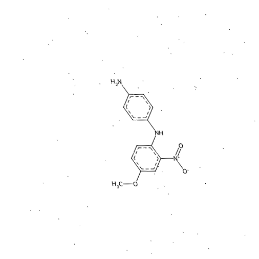 COc1ccc(Nc2ccc(N)cc2)c([N+](=O)[O-])c1